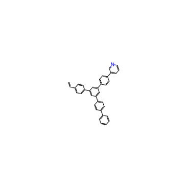 C=Cc1ccc(-c2cc(-c3ccc(-c4ccccc4)cc3)cc(-c3ccc(-c4cccnc4)cc3)c2)cc1